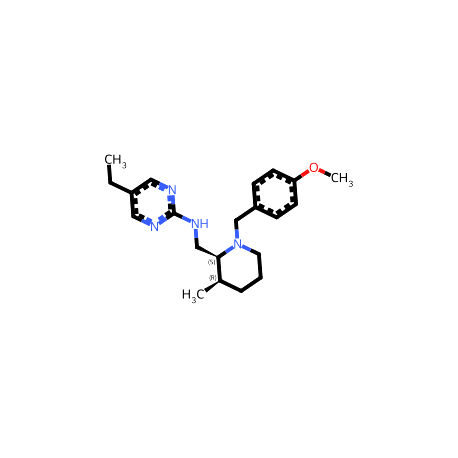 CCc1cnc(NC[C@@H]2[C@H](C)CCCN2Cc2ccc(OC)cc2)nc1